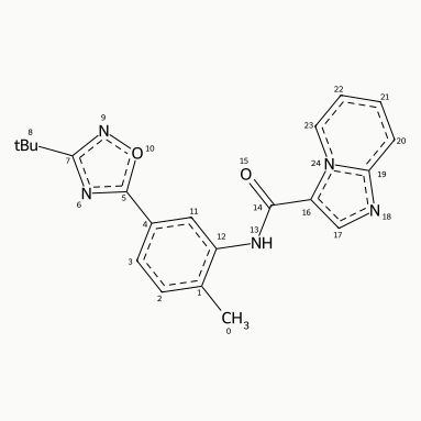 Cc1ccc(-c2nc(C(C)(C)C)no2)cc1NC(=O)c1cnc2ccccn12